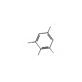 CNc1cc(Br)c(OC)c(Br)c1